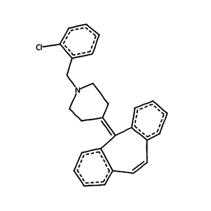 Clc1ccccc1CN1CCC(=C2c3ccccc3C=Cc3ccccc32)CC1